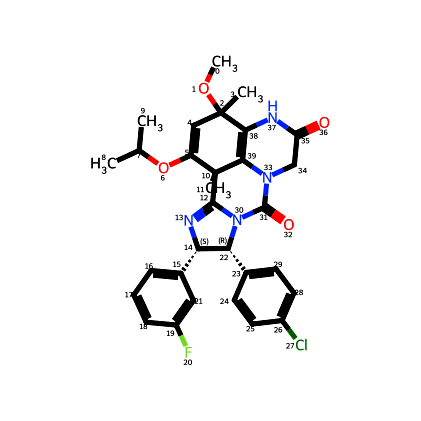 COC1(C)C=C(OC(C)C)C2(C)C3=N[C@@H](c4cccc(F)c4)[C@@H](c4ccc(Cl)cc4)N3C(=O)N3CC(=O)NC1=C32